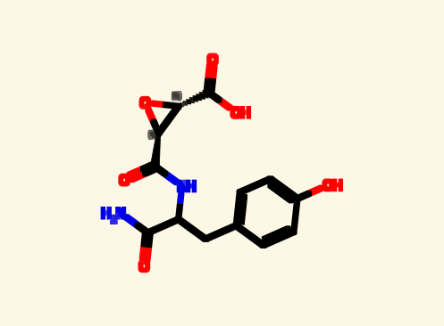 NC(=O)C(Cc1ccc(O)cc1)NC(=O)[C@H]1O[C@@H]1C(=O)O